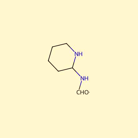 O=[C]NC1CCCCN1